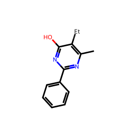 CCc1c(C)nc(-c2ccccc2)nc1O